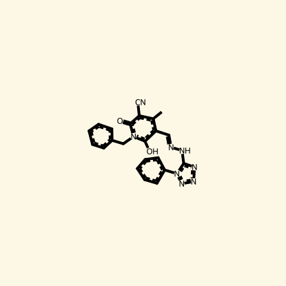 Cc1c(/C=N/Nc2nnnn2-c2ccccc2)c(O)n(Cc2ccccc2)c(=O)c1C#N